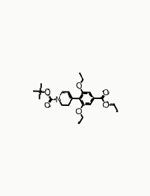 CCOC(=O)c1cc(OCC)c(C2=CCN(C(=O)OC(C)(C)C)CC2)c(OCC)c1